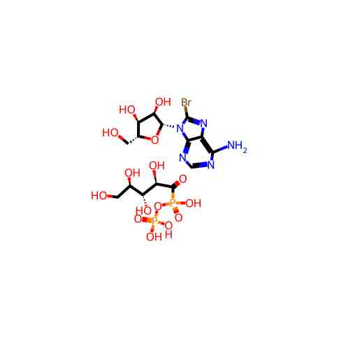 Nc1ncnc2c1nc(Br)n2[C@@H]1O[C@H](CO)[C@@H](O)[C@H]1O.O=C([C@H](O)[C@H](O)[C@H](O)CO)P(=O)(O)OP(=O)(O)O